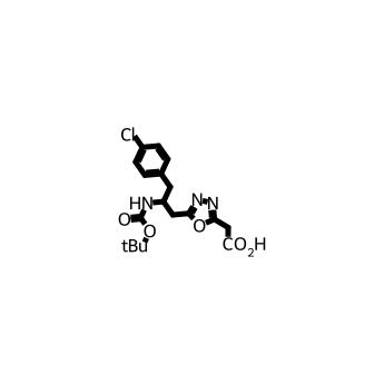 CC(C)(C)OC(=O)NC(Cc1ccc(Cl)cc1)Cc1nnc(CC(=O)O)o1